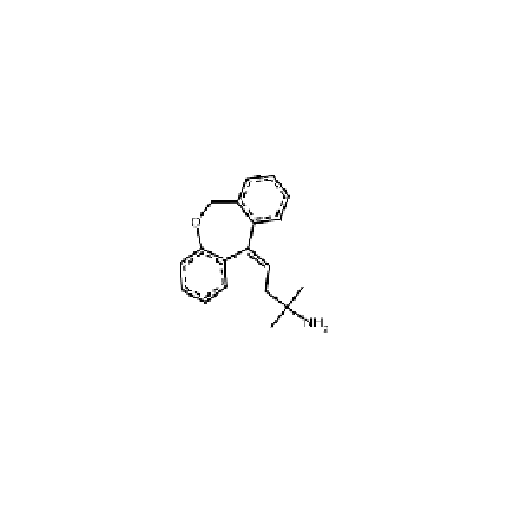 CC(C)(N)CC=C1c2ccccc2COc2ccccc21